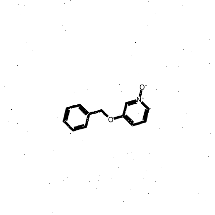 [O-][n+]1[c]ccc(OCc2ccccc2)c1